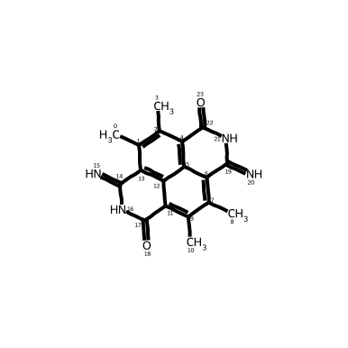 Cc1c(C)c2c3c(c(C)c(C)c4c3c1C(=N)NC4=O)C(=N)NC2=O